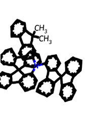 CC1(C)c2ccccc2-c2ccc(N(c3cccc4c3-c3ccccc3C43c4ccccc4-c4ccccc43)c3cccc4c3C3(c5ccccc5-c5ccccc53)c3ccccc3-4)cc21